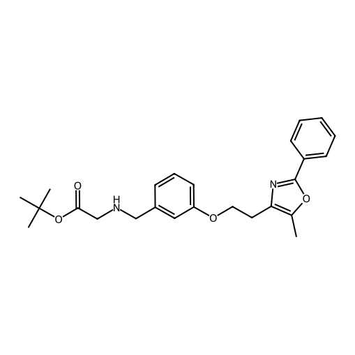 Cc1oc(-c2ccccc2)nc1CCOc1cccc(CNCC(=O)OC(C)(C)C)c1